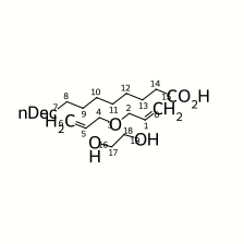 C=CCOCC=C.CCCCCCCCCCCCCCCCCC(=O)O.OCCO